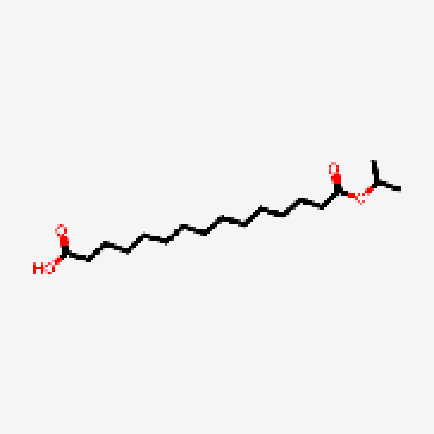 CC(C)OC(=O)CCCCCCCCCCCCCC(=O)O